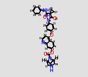 O=C(Oc1ccc2c(Oc3ccc(NC(=O)C4(C(=O)Nc5ccccc5)CC4)cc3)ccnc2c1)N1[C@@H]2CNC[C@H]1C2